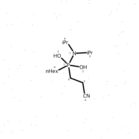 CCCCCCP(O)(O)(CCC#N)N(C(C)C)C(C)C